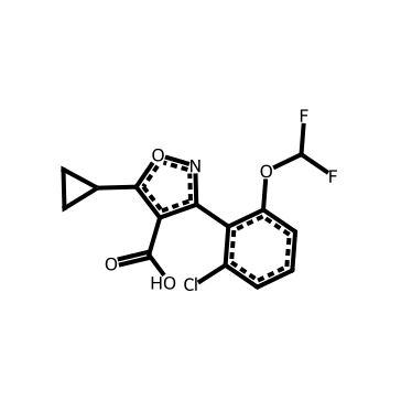 O=C(O)c1c(-c2c(Cl)cccc2OC(F)F)noc1C1CC1